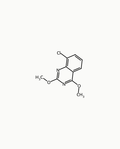 COc1nc(OC)c2cccc(Cl)c2n1